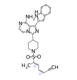 C#C/C=C\C=C(/C)S(=O)(=O)N1CCC(c2nc(-c3cc4ccccc4[nH]3)c3c(N)nccn23)CC1